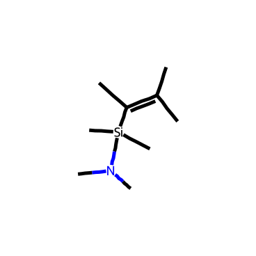 CC(C)=C(C)[Si](C)(C)N(C)C